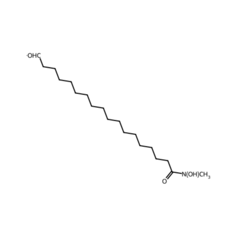 CN(O)C(=O)CCCCCCCCCCCCCCCC[C]=O